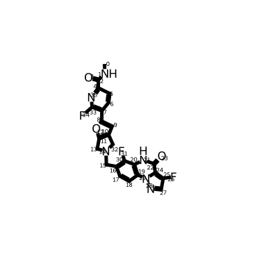 CNC(=O)c1ccc(-c2cc3c(o2)CN(Cc2ccc4c([nH]c(=O)c5c(F)cnn54)c2F)C3)c(F)n1